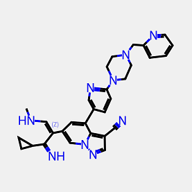 CN/C=C(\C(=N)C1CC1)c1cc(-c2ccc(N3CCN(Cc4ccccn4)CC3)nc2)c2c(C#N)cnn2c1